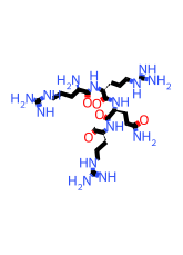 N=C(N)NCCC[C@@H](N)C(=O)N[C@H](CCCNC(=N)N)C(=O)N[C@@H](CCC(N)=O)C(=O)N[C@@H]([C]=O)CCCNC(=N)N